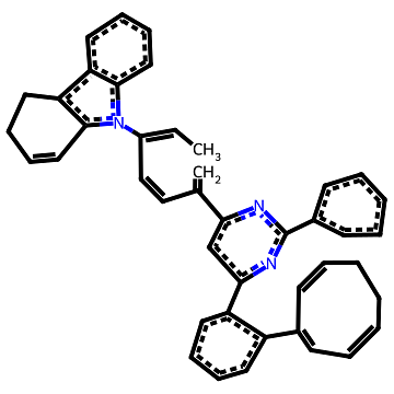 C=C(/C=C\C(=C/C)n1c2c(c3ccccc31)CCC=C2)c1cc(-c2ccccc2C2=C/C=C\CC/C=C\2)nc(-c2ccccc2)n1